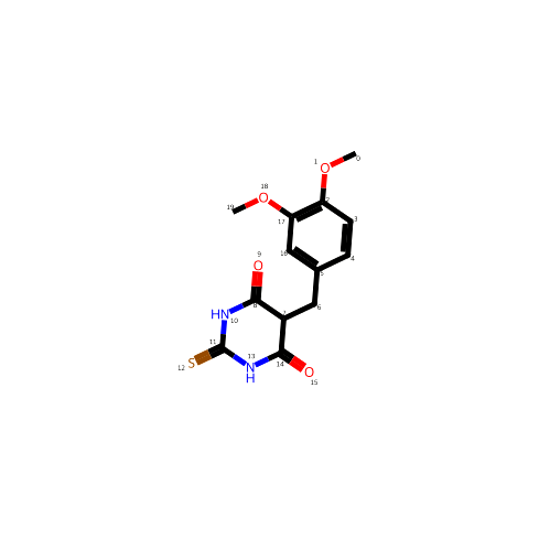 COc1ccc(CC2C(=O)NC(=S)NC2=O)cc1OC